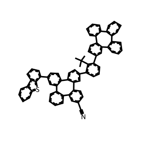 CC(C)(C)c1c(-c2ccc3c(c2)-c2ccccc2-c2ccccc2-c2ccccc2-3)cccc1-c1ccc2c(c1)-c1ccc(C#N)cc1-c1ccccc1-c1cc(-c3cccc4c3sc3ccccc34)ccc1-2